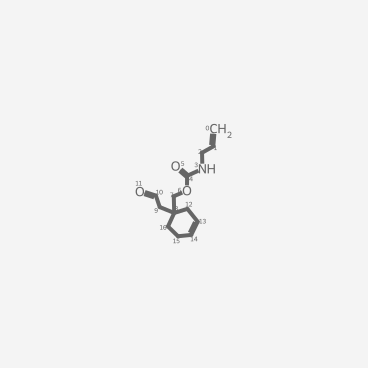 C=CCNC(=O)OCC1(CC=O)CC=CCC1